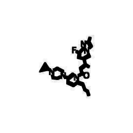 CCC/C=C1\C=CC(N2CCN(C3CC3)CC2)=CN1C(=O)/C=C(\C)c1cc(F)c2nc(C)cn2c1